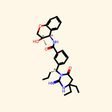 CCC[C@H](c1cccc(C(=O)N[C@@H]2c3ccccc3OC[C@]2(C)O)c1)N1C(=N)NC(CC)(CC)CC1=O